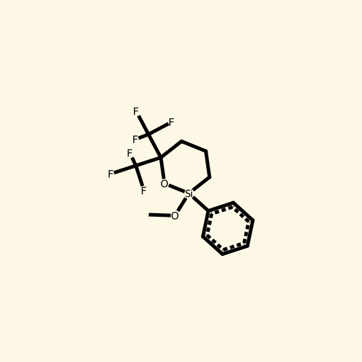 CO[Si]1(c2ccccc2)CCCC(C(F)(F)F)(C(F)(F)F)O1